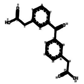 O=C(O)Cc1cccc(C(=O)c2cccc(CC(=O)O)c2)c1